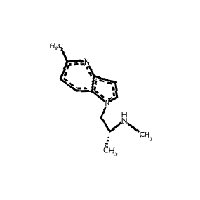 CN[C@H](C)Cn1ccc2nc(C)ccc21